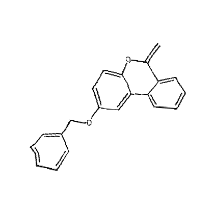 C=C1Oc2ccc(OCc3ccccc3)cc2-c2ccccc21